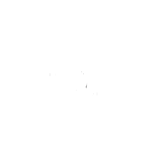 Cc1ccccc1CN1CCC[C@H]1C(=O)O